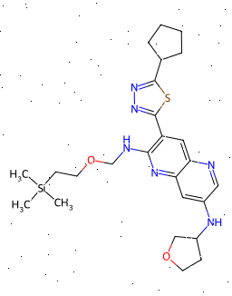 C[Si](C)(C)CCOCNc1nc2cc(NC3CCOC3)cnc2cc1-c1nnc(C2CCCC2)s1